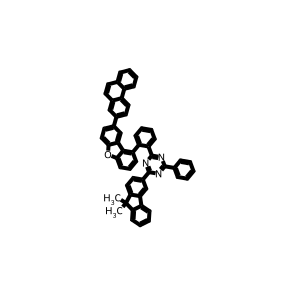 CC1(C)c2ccccc2-c2cc(-c3nc(-c4ccccc4)nc(-c4ccccc4-c4cccc5oc6ccc(-c7ccc8c(ccc9ccccc98)c7)cc6c45)n3)ccc21